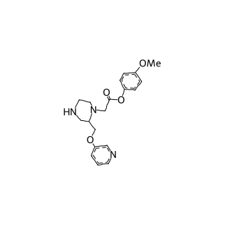 COc1ccc(OC(=O)CN2CCNCC2COc2cccnc2)cc1